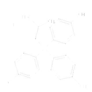 Cc1ccc([P+](CC(C)C)(c2ccc(C)cc2)c2ccc(C)cc2)cc1.[I-]